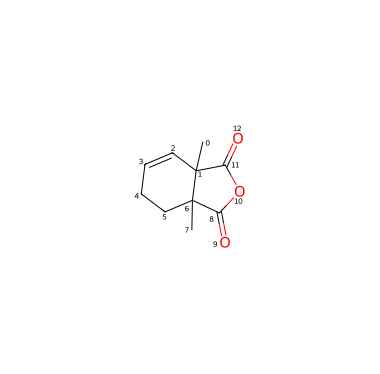 CC12C=CCCC1(C)C(=O)OC2=O